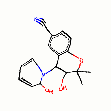 CC1(C)Oc2ccc(C#N)cc2C(N2C=CC=CC2O)C1O